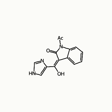 CC(=O)N1C(=O)C(=C(O)c2c[nH]cn2)c2ccccc21